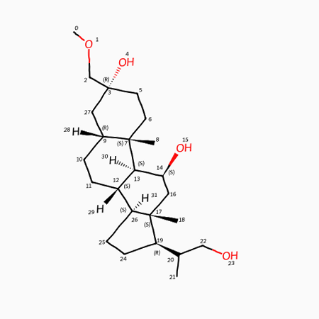 COC[C@@]1(O)CC[C@@]2(C)[C@H](CC[C@@H]3[C@@H]2[C@@H](O)C[C@]2(C)[C@@H](C(C)CO)CC[C@@H]32)C1